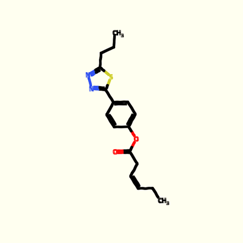 CC/C=C\CC(=O)Oc1ccc(-c2nnc(CCC)s2)cc1